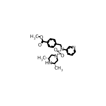 COC(=O)c1ccc(CN(c2cccnc2)S(=O)(=O)N2C[C@@H](C)N[C@@H](C)C2)cc1